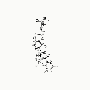 Cc1cc(C)cc(C(=O)N(NC(=O)c2ccc3c(c2C)O[C@@H](/C=N/NC(N)=O)CO3)C(C)(C)C)c1